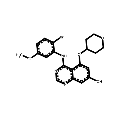 COc1ccc(Br)c(Nc2ncnc3cc(O)cc(OC4CCOCC4)c23)c1